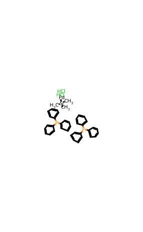 C[Si](C)(C)[Pd].Cl.Cl.c1ccc(P(c2ccccc2)c2ccccc2)cc1.c1ccc(P(c2ccccc2)c2ccccc2)cc1